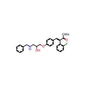 COC(=O)/C(=C/c1ccc(OCC(O)CNCc2ccccc2)cc1)c1ccccc1F